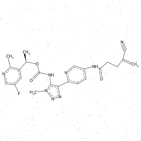 C=C(C#N)CCC(=O)Nc1ccc(-c2nnn(C)c2NC(=O)O[C@H](C)c2cc(F)cnc2C)nc1